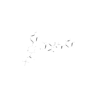 CC(C)(C)OC(=O)N1CCC(c2ccc(Cl)cc2)[C@H](COc2cc(F)c(S(=O)(=O)NC(=O)c3ccccn3)cc2F)C1